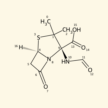 CC1(C)S[C@@H]2CC(=O)N2[C@@]1(NC=O)C(=O)O